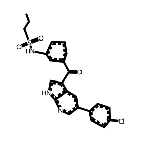 CCCS(=O)(=O)Nc1cccc(C(=O)c2c[nH]c3ncc(-c4ccc(Cl)cc4)cc23)c1